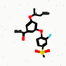 COC[C@H](C)Oc1cc(Oc2ccc(S(C)(=O)=O)cc2F)cc(C(=O)OC)c1